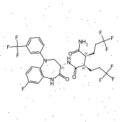 NC(=O)[C@@H](CCC(F)(F)F)[C@@H](CCC(F)(F)F)C(=O)N[C@H]1CN(c2cccc(C(F)(F)F)c2)c2ccc(F)cc2NC1=O